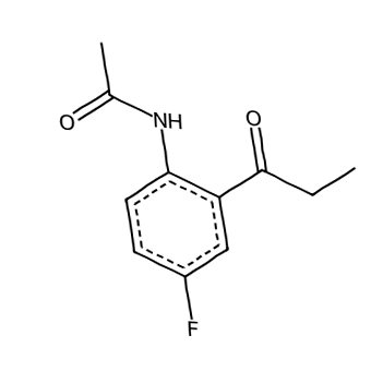 CCC(=O)c1cc(F)ccc1NC(C)=O